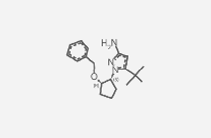 CC(C)(C)c1cc(N)nn1[C@H]1CCC[C@H]1OCc1ccccc1